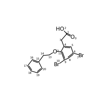 O=C(O)Cc1cc(Br)cc(Br)c1OCCc1ccccc1